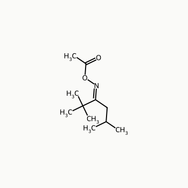 CC(=O)O/N=C(/CC(C)C)C(C)(C)C